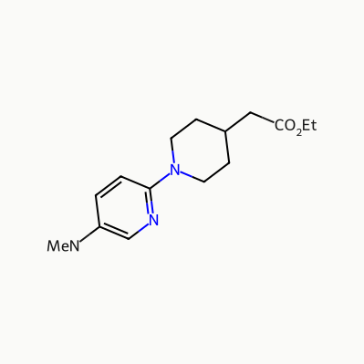 CCOC(=O)CC1CCN(c2ccc(NC)cn2)CC1